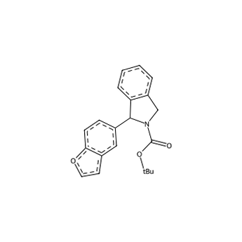 CC(C)(C)OC(=O)N1Cc2ccccc2C1c1ccc2occc2c1